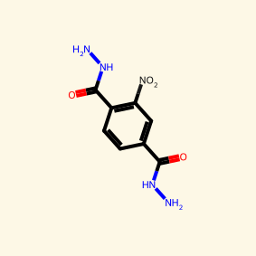 NNC(=O)c1ccc(C(=O)NN)c([N+](=O)[O-])c1